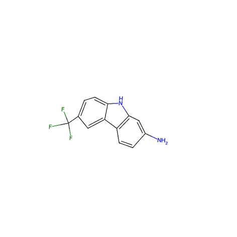 Nc1ccc2c(c1)[nH]c1ccc(C(F)(F)F)cc12